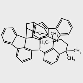 CC1(C)CCC(C)(C)c2c(N(c3cccc4c3C3(c5ccccc5-4)C4CC5CC6CC3C64C5)c3cccc4c3oc3ccccc34)cccc21